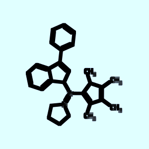 CC1=C(C)C(C)[C]([Zr]([CH]2C=C(c3ccccc3)c3ccccc32)=[Si]2CCCC2)=C1C